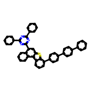 c1ccc(-c2ccc(-c3ccc(-c4cccc5c4sc4cc(-c6nc(-c7ccccc7)nc(-c7ccccc7)n6)c6ccccc6c45)cc3)cc2)cc1